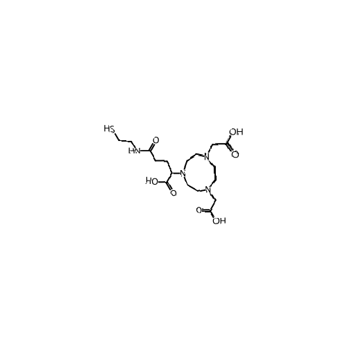 O=C(O)CN1CCN(CC(=O)O)CCN(C(CCC(=O)NCCS)C(=O)O)CC1